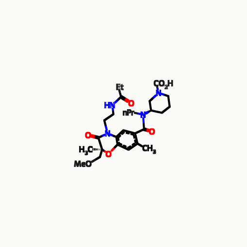 CCCN(C(=O)c1cc2c(cc1C)O[C@@](C)(COC)C(=O)N2CCNC(=O)CC)[C@@H]1CCCN(C(=O)O)C1